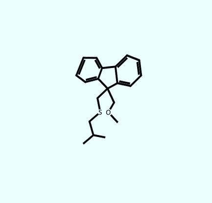 COCC1(CSCC(C)C)c2ccccc2-c2ccccc21